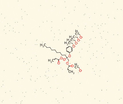 C=CC(=O)OCC(CCCCCCCCC)(OOC(=O)C=C)Oc1ccccc1.[CH2]C[O].[CH2]C[O].[CH2]C[O].[CH2]C[O].[CH2]C[O]